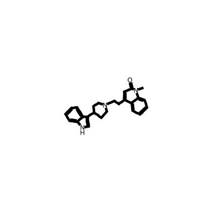 Cn1c(=O)cc(CCN2CCC(c3c[nH]c4ccccc34)CC2)c2ccccc21